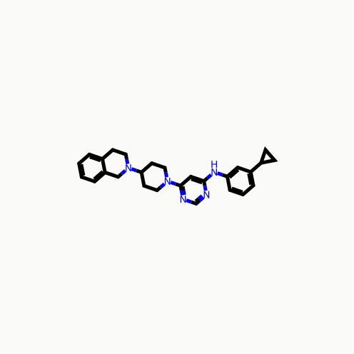 c1cc(Nc2cc(N3CCC(N4CCc5ccccc5C4)CC3)ncn2)cc(C2CC2)c1